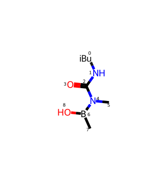 CCC(C)NC(=O)N(C)B(C)O